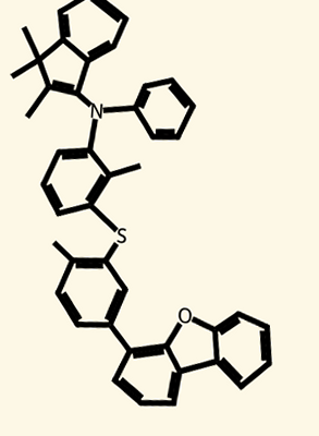 CC1=C(N(c2ccccc2)c2cccc(Sc3cc(-c4cccc5c4oc4ccccc45)ccc3C)c2C)c2ccccc2C1(C)C